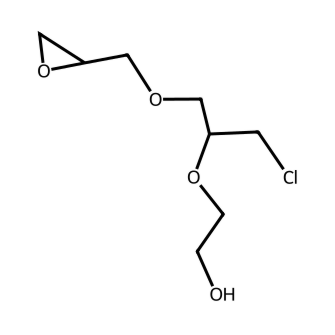 OCCOC(CCl)COCC1CO1